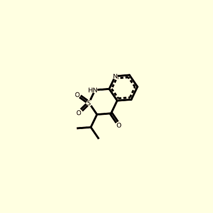 CC(C)C1C(=O)c2cccnc2NS1(=O)=O